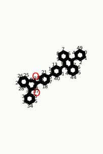 c1ccc(-c2c3ccccc3c(-c3ccc(-c4ccc5c(c4)oc4c6ccccc6c6c7ccccc7oc6c54)cc3)c3ccccc23)cc1